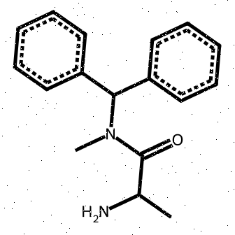 CC(N)C(=O)N(C)C(c1ccccc1)c1ccccc1